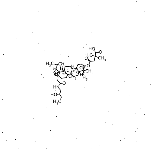 C=C(C)[C@@H]1CC[C@]2(CC(=O)NCC(O)CC)CC[C@]3(C)[C@H](CC[C@@H]4[C@@]5(C)CC[C@H](OC(=O)CC(C)(C)C(=O)O)C(C)(C)[C@@H]5CC[C@]43C)[C@@H]12